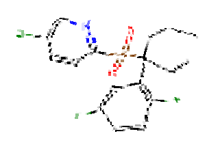 O=S(=O)(c1ccc(Cl)cn1)C1(c2cc(F)ccc2F)CCCCC1